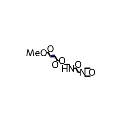 COC(=O)/C=C/C(=O)OCCNC(=O)CN1CCOCC1